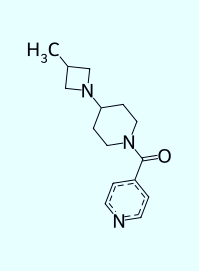 CC1CN(C2CCN(C(=O)c3ccncc3)CC2)C1